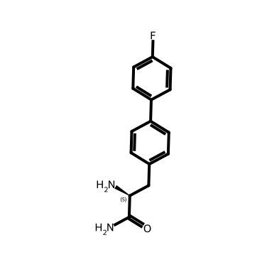 NC(=O)[C@@H](N)Cc1ccc(-c2ccc(F)cc2)cc1